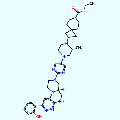 CCOC(=O)C1CCC2(CC1)CC(N1CCN(c3cnc(N4CCN5c6cc(-c7ccccc7O)nnc6NC[C@H]5C4)nc3)C[C@H]1C)C2